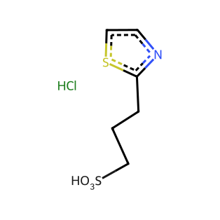 Cl.O=S(=O)(O)CCCc1nccs1